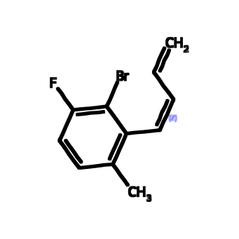 C=C/C=C\c1c(C)ccc(F)c1Br